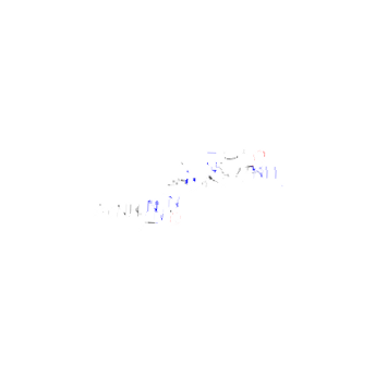 CC(=O)Nc1ccn(C(=O)N2CCC3(CCCN3Cc3cc4cc(C(N)=O)ccc4[nH]3)CC2)n1